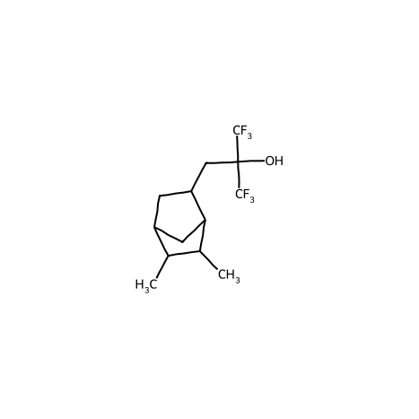 CC1C2CC(CC(O)(C(F)(F)F)C(F)(F)F)C(C2)C1C